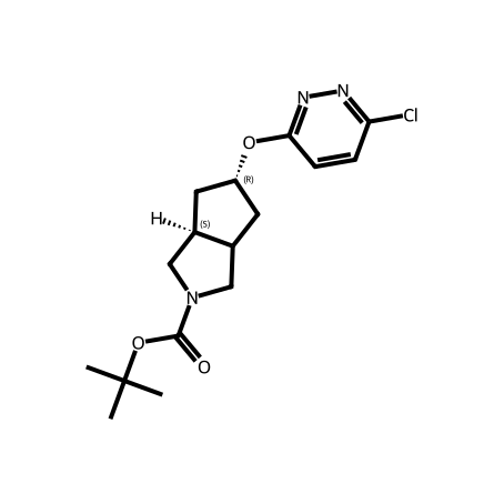 CC(C)(C)OC(=O)N1CC2C[C@@H](Oc3ccc(Cl)nn3)C[C@@H]2C1